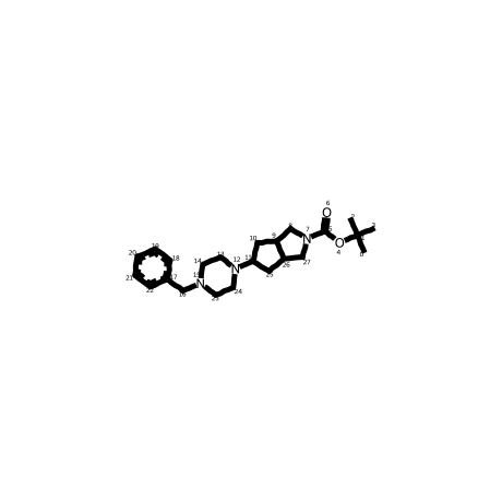 CC(C)(C)OC(=O)N1CC2CC(N3CCN(Cc4ccccc4)CC3)CC2C1